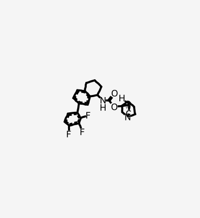 O=C(NC1CCCc2ccc(-c3ccc(F)c(F)c3F)cc21)O[C@H]1CN2CCC1CC2